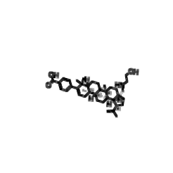 C=C(C)[C@@H]1CC[C@]2(CNCCO)CC[C@]3(C)[C@H](CC[C@@H]4[C@@]5(C)CC=C(c6ccc(C(=O)O)cc6)C(C)(C)[C@@H]5CC[C@]43C)[C@@H]12